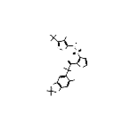 [2H]N(c1onc(C([2H])([2H])[2H])c1Cl)S(=O)(=O)c1ccsc1C(=O)C([2H])([2H])c1cc2c(cc1C)OC([2H])([2H])O2